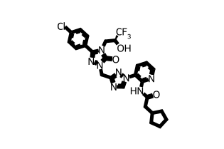 O=C(CC1CCCC1)Nc1ncccc1-n1cnc(Cn2nc(-c3ccc(Cl)cc3)n(C[C@H](O)C(F)(F)F)c2=O)n1